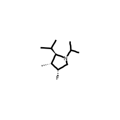 CC(C)[C@@H]1[C@@H](C)[C@@H](F)CN1C(C)C